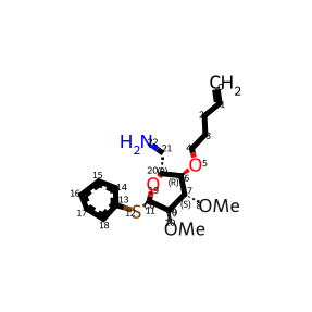 C=CCCCO[C@H]1[C@H](OC)[C@@H](OC)[C@H](Sc2ccccc2)O[C@@H]1CN